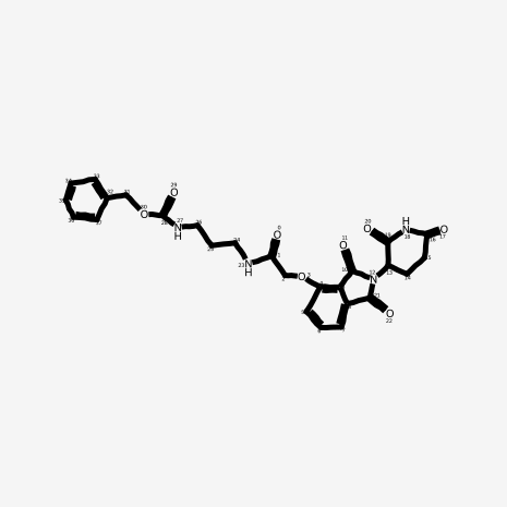 O=C(COc1cccc2c1C(=O)N(C1CCC(=O)NC1=O)C2=O)NCCCNC(=O)OCc1ccccc1